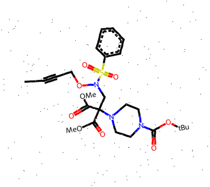 CC#CCON(CC(C(=O)OC)(C(=O)OC)N1CCN(C(=O)OC(C)(C)C)CC1)S(=O)(=O)c1ccccc1